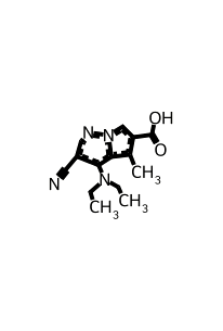 CCN(CC)c1c(C#N)cnn2cc(C(=O)O)c(C)c12